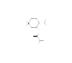 CC(O)C(=O)O[C@H]1CC(C)(C)CC[C@@H]1C(C)C